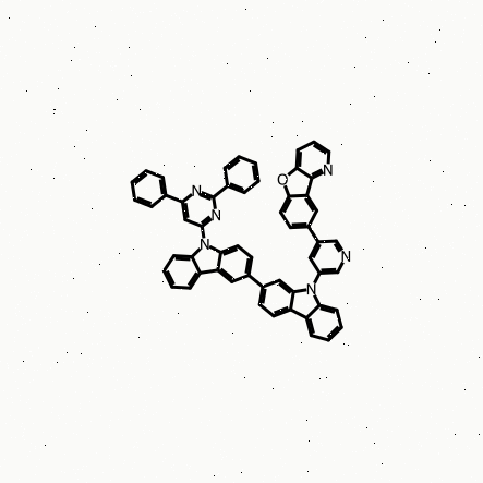 c1ccc(-c2cc(-n3c4ccccc4c4cc(-c5ccc6c7ccccc7n(-c7cncc(-c8ccc9oc%10cccnc%10c9c8)c7)c6c5)ccc43)nc(-c3ccccc3)n2)cc1